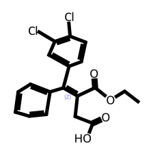 CCOC(=O)/C(CC(=O)O)=C(/c1ccccc1)c1ccc(Cl)c(Cl)c1